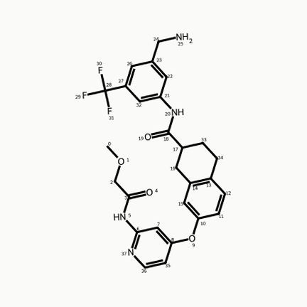 COCC(=O)Nc1cc(Oc2ccc3c(c2)CC(C(=O)Nc2cc(CN)cc(C(F)(F)F)c2)CC3)ccn1